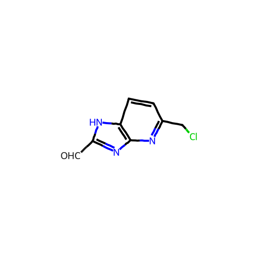 O=Cc1nc2nc(CCl)ccc2[nH]1